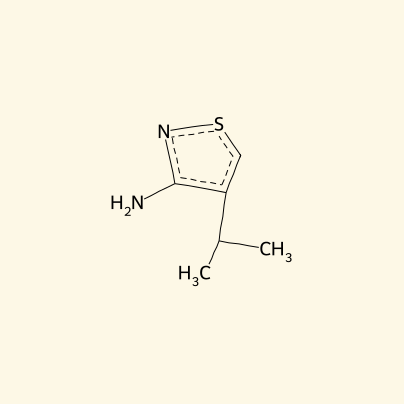 CC(C)c1csnc1N